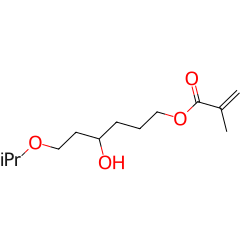 [CH2]C(C)OCCC(O)CCCOC(=O)C(=C)C